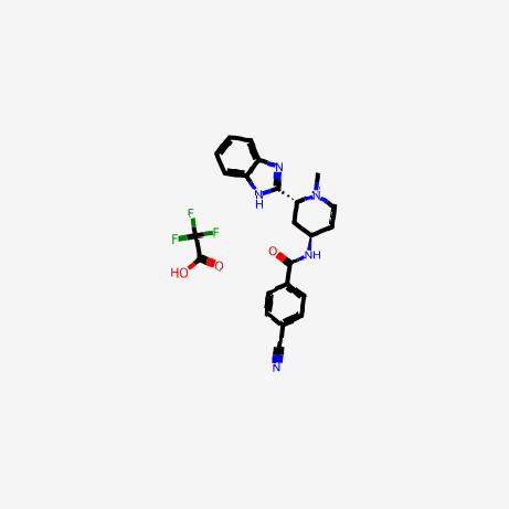 CN1CC[C@@H](NC(=O)c2ccc(C#N)cc2)C[C@@H]1c1nc2ccccc2[nH]1.O=C(O)C(F)(F)F